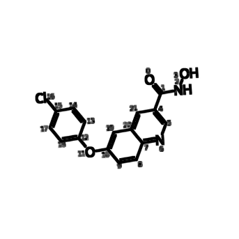 O=C(NO)c1cnc2ccc(Oc3ccc(Cl)cc3)cc2c1